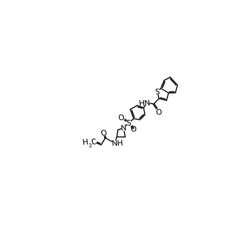 C=CC(=O)NC1CN(S(=O)(=O)c2ccc(NC(=O)c3cc4ccccc4s3)cc2)C1